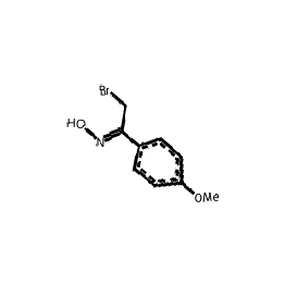 COc1ccc(C(CBr)=NO)cc1